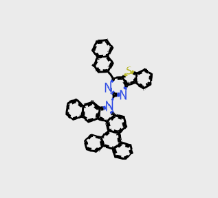 c1ccc2cc(-c3nc(-n4c5cc6ccccc6cc5c5c6c7ccccc7c7ccccc7c6ccc54)nc4c3sc3ccccc34)ccc2c1